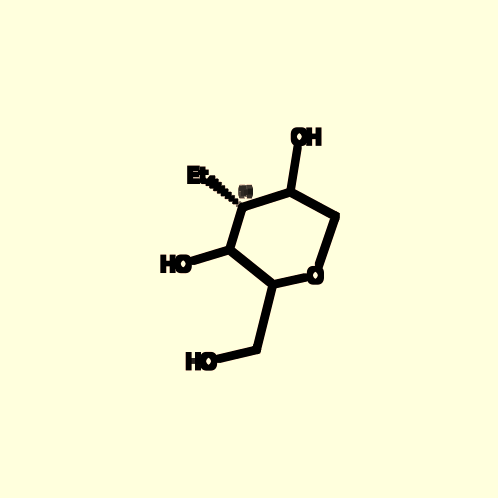 CC[C@@H]1C(O)COC(CO)C1O